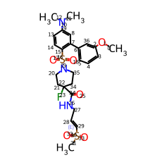 COc1cccc(-c2cc(N(C)C)ccc2S(=O)(=O)N2CCC(F)(C(=O)NC/C=C/S(C)(=O)=O)CC2)c1